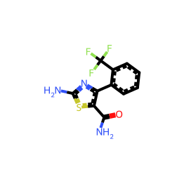 NC(=O)c1sc(N)nc1-c1ccccc1C(F)(F)F